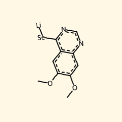 [Li][Se]c1ncnc2cc(OC)c(OC)cc12